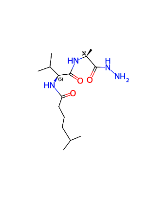 CC(C)CCCC(=O)N[C@H](C(=O)N[C@@H](C)C(=O)NN)C(C)C